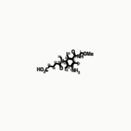 COCNC(=O)c1c(I)c(N)c(I)c(N(C)C(=O)CCCC(=O)O)c1I